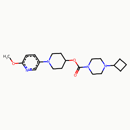 COc1ccc(N2CCC(OC(=O)N3CCN(C4CCC4)CC3)CC2)cn1